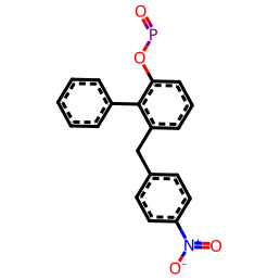 O=POc1cccc(Cc2ccc([N+](=O)[O-])cc2)c1-c1ccccc1